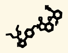 CCCC(OCC)n1nccc1-c1ccc(CN2Cc3cccc(Oc4c(F)cccc4C#N)c3C2=O)cc1